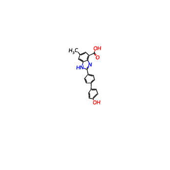 Cc1cc(C(=O)O)c2nc(-c3ccc(-c4ccc(O)cc4)cc3)[nH]c2c1